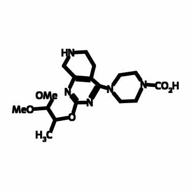 COC(OC)C(C)Oc1nc2c(c(N3CCN(C(=O)O)CC3)n1)CCNC2